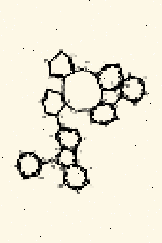 C1=CC2=C(Sc3cccc(-c4ccccc4)c3-c3ccccc3SC3=CCCC=C32)C(c2ccc3c4ccccc4n(-c4ccccc4)c3c2)C1